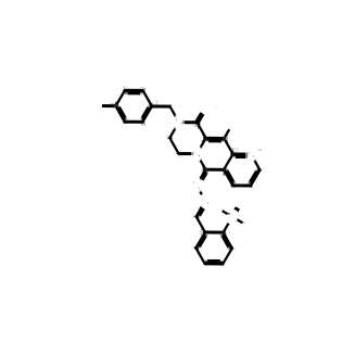 CP(C)(=O)c1ccccc1/C=N/N=c1\c2cccnc2c(O)c2n1CCN(Cc1ccc(F)cc1)C2=O